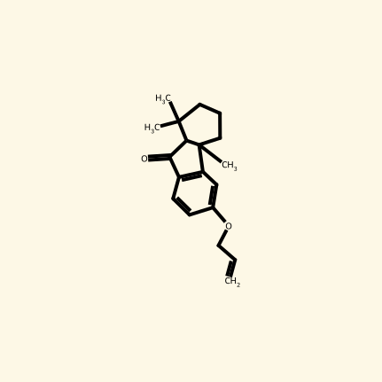 C=CCOc1ccc2c(c1)C1(C)CCCC(C)(C)C1C2=O